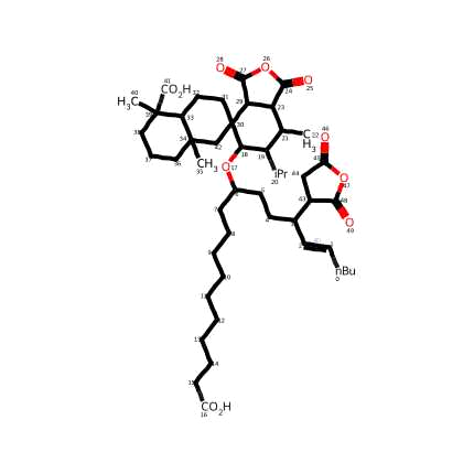 CCCC/C=C/C(CCC(CCCCCCCCCC(=O)O)OC1C(C(C)C)C(C)C2C(=O)OC(=O)C2C12CCC1C(C)(CCCC1(C)C(=O)O)C2)C1CC(=O)OC1=O